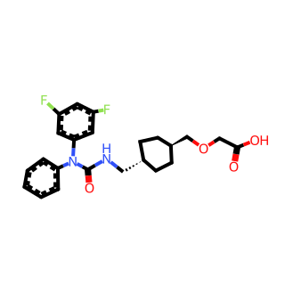 O=C(O)COC[C@H]1CC[C@H](CNC(=O)N(c2ccccc2)c2cc(F)cc(F)c2)CC1